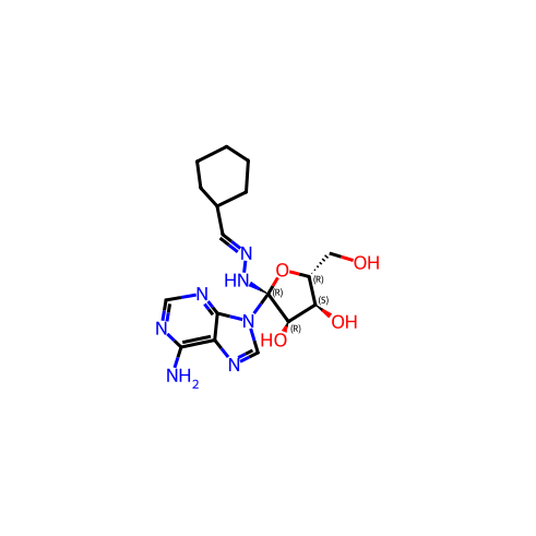 Nc1ncnc2c1ncn2[C@]1(NN=CC2CCCCC2)O[C@H](CO)[C@@H](O)[C@H]1O